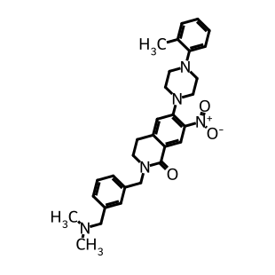 Cc1ccccc1N1CCN(c2cc3c(cc2[N+](=O)[O-])C(=O)N(Cc2cccc(CN(C)C)c2)CC3)CC1